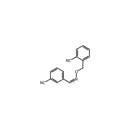 N#Cc1cccc(/[C]=N\OCc2ccccc2C#N)c1